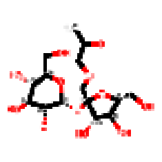 CC([O])COC[C@@]1(O[C@H]2O[C@H](CO)[C@@H](O)[C@H](O)[C@H]2O)O[C@H](CO)[C@@H](O)[C@@H]1O